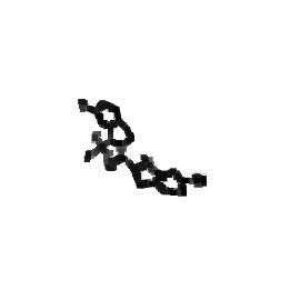 O=C(c1cc2ccc(Br)cn2n1)N1CCc2ccc(F)cc2C1C(F)(F)F